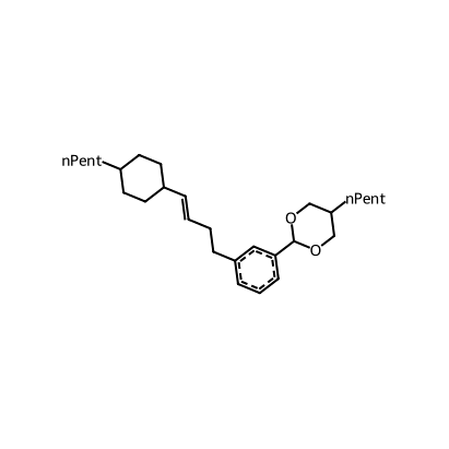 CCCCCC1CCC(/C=C/CCc2cccc(C3OCC(CCCCC)CO3)c2)CC1